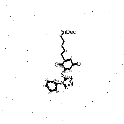 CCCCCCCCCCCCCCCC1=CC(=O)C=C(Sc2nnnn2-c2ccccc2)C1=O